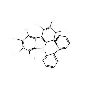 CC1c2c(c3c(O)c(Br)c(O)c(O)c3n2-c2ccccc2-c2ccccc2)C(O)=C(O)C1O